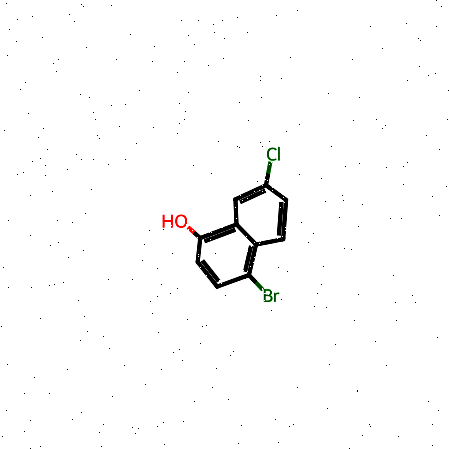 Oc1ccc(Br)c2ccc(Cl)cc12